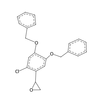 Clc1cc(OCc2ccccc2)c(OCc2ccccc2)cc1C1CO1